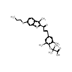 CCCSc1ccc2c(C)c(C(=O)/C=C/c3cc(C)c(OC(C)(C)C(=O)O)c(C)c3)oc2c1